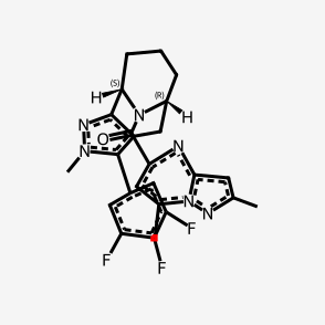 Cc1cc2nc(C(=O)N3[C@@H]4CCC[C@H]3c3nn(C)c(-c5cc(F)c(F)c(F)c5)c3C4)cc(C)n2n1